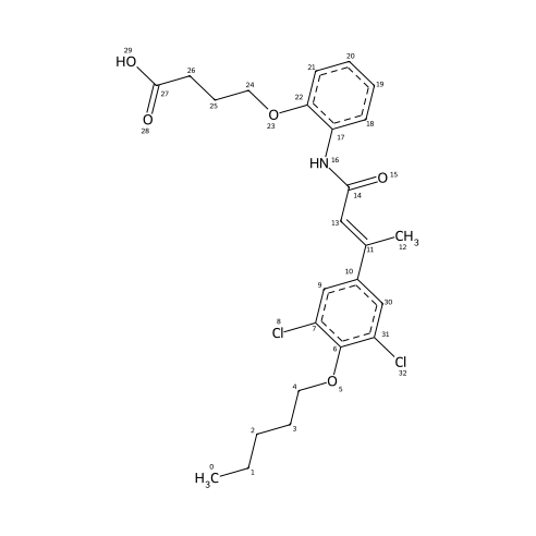 CCCCCOc1c(Cl)cc(C(C)=CC(=O)Nc2ccccc2OCCCC(=O)O)cc1Cl